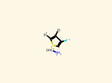 CCc1scc(F)c1CC.NC=O